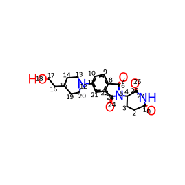 O=C1CCC(N2C(=O)c3ccc(N4CCC(CCO)CC4)cc3C2=O)C(=O)N1